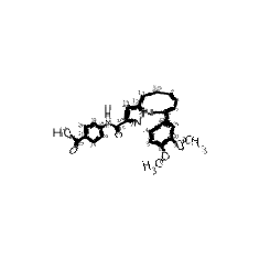 COc1ccc(/C2=C/C=C\CCc3cc(C(=O)Nc4ccc(C(=O)O)cc4)nn32)cc1OC